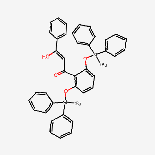 CC(C)(C)[Si](Oc1cccc(O[Si](c2ccccc2)(c2ccccc2)C(C)(C)C)c1C(=O)/C=C(\O)c1ccccc1)(c1ccccc1)c1ccccc1